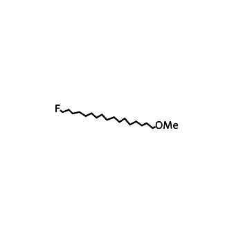 COCCCCCCCCCCCCCCCCCF